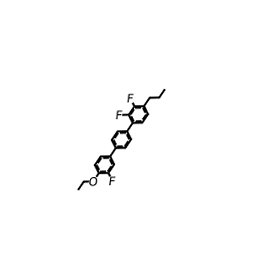 CCCc1ccc(-c2ccc(-c3ccc(OCC)c(F)c3)cc2)c(F)c1F